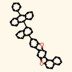 c1ccc(-c2c3ccccc3c(-c3ccc(-c4ccc5c(c4)oc4cc6c(cc45)oc4ccc5ccccc5c46)c4ccccc34)c3ccccc23)cc1